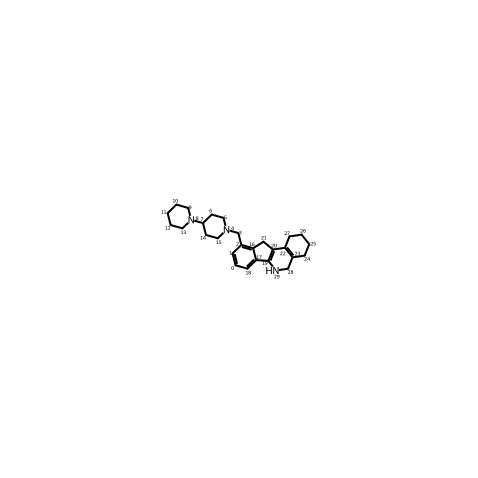 c1cc(CN2CCC(N3CCCCC3)CC2)c2c(c1)C1=C(C2)C2=C(CCCC2)CN1